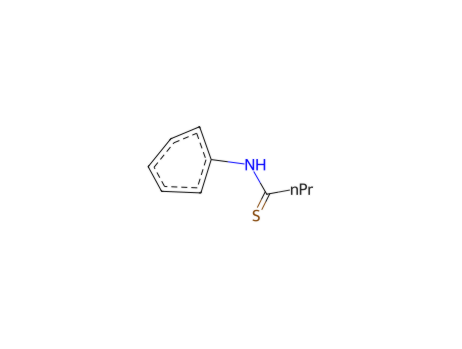 CCCC(=S)Nc1ccccc1